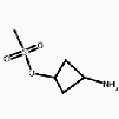 CS(=O)(=O)OC1CC(N)C1